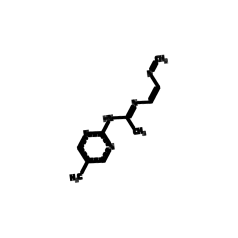 C=N/C=C\N=C(/C)Nc1ncc(C)cn1